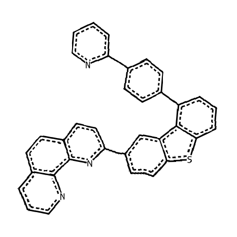 c1ccc(-c2ccc(-c3cccc4sc5ccc(-c6ccc7ccc8cccnc8c7n6)cc5c34)cc2)nc1